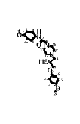 COc1ccc(NC(=O)CN2CCN(CC(O)COc3ccc(OC)cc3)CC2)cc1